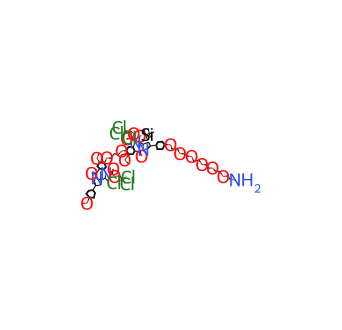 COc1ccc(C2=CN3C(=O)c4cc(OC)c(OCCCOc5cc6c(cc5OC)C(=O)N5C=C(c7ccc(OCCOCCOCCOCCOCCOCCN)cc7)CC5C(O[Si](C)(C)C(C)(C)C)N6C(=O)OCC(Cl)(Cl)Cl)cc4N(C(=O)OCC(Cl)(Cl)Cl)C(C)C3C2)cc1